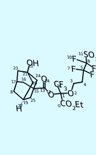 CCOC(=O)C(OCCC(F)(F)C(F)(F)S(=O)(=O)O)(OC(=O)C12CC3C[C@@H](CC(O)(C3)C1)C2)C(F)(F)F